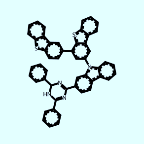 c1ccc(C2=NC(c3ccc4c5ccccc5n(-c5cc(-c6ccc7sc8ccccc8c7c6)c6sc7ccccc7c6c5)c4c3)=NC(c3ccccc3)N2)cc1